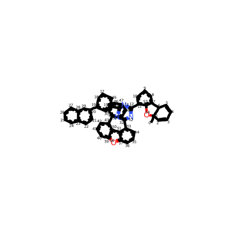 CC12C=CC=CC1c1cccc(-c3nc(-c4cccc(-c5ccc6ccccc6c5)c4)nc(-c4cccc5oc6cccc(-c7ccccc7)c6c45)n3)c1O2